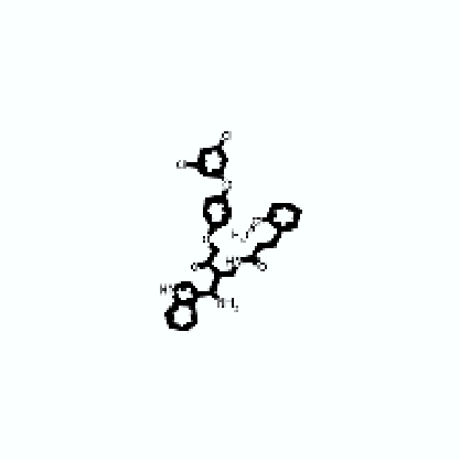 COc1ccccc1CCC(=O)NCC(C(=O)COc1ccc(Oc2cc(Cl)cc(Cl)c2)cc1)C(N)c1c[nH]c2ccccc12